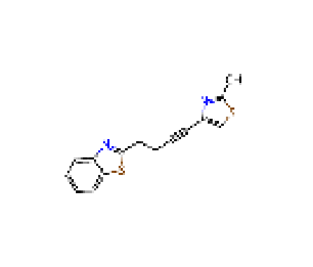 Cc1nc(C#CCCc2nc3ccccc3s2)cs1